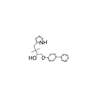 CC(C)(Cc1ccc[nH]1)C(O)COc1ccc(-c2ccccc2)cc1